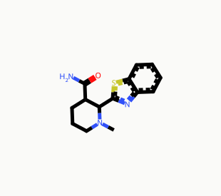 CN1CCCC(C(N)=O)C1c1nc2ccccc2s1